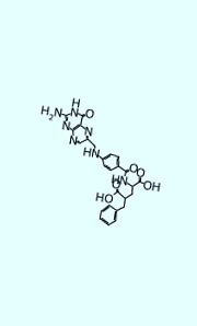 Nc1nc2ncc(CNc3ccc(C(=O)NC(CC(Cc4ccccc4)C(=O)O)C(=O)O)cc3)nc2c(=O)[nH]1